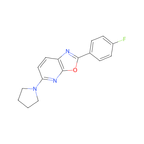 Fc1ccc(-c2nc3ccc(N4CCCC4)nc3o2)cc1